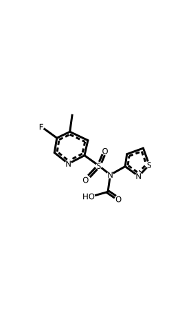 Cc1cc(S(=O)(=O)N(C(=O)O)c2ccsn2)ncc1F